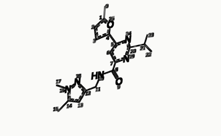 Cc1ccc(-c2cc(C(=O)NCc3cc(C)n(C)n3)nc(C(C)C)n2)o1